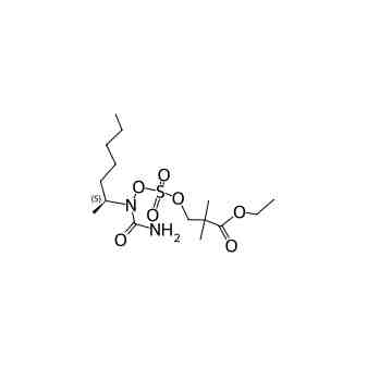 CCCCC[C@H](C)N(OS(=O)(=O)OCC(C)(C)C(=O)OCC)C(N)=O